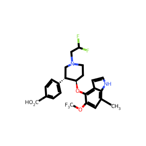 Cc1cc(OC(F)(F)F)c(O[C@@H]2CCN(CC(F)F)C[C@H]2c2ccc(C(=O)O)cc2)c2cc[nH]c12